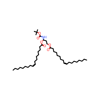 CCCCCCCC/C=C\CCCCCCCC(=O)OCCC(NC(=O)OC(C)(C)C)OC(=O)CCCCCCC/C=C\CCCCCCCC